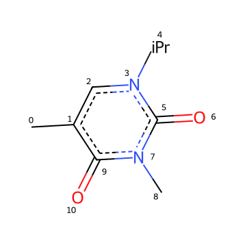 Cc1cn(C(C)C)c(=O)n(C)c1=O